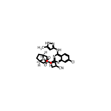 Cc1cc(Nc2nc(N[C@@H]3C[C@H]4CC[C@@H](C3)N4S(=O)(=O)N3CC(C#N)C3)nc3cc(Cl)ccc23)n[nH]1